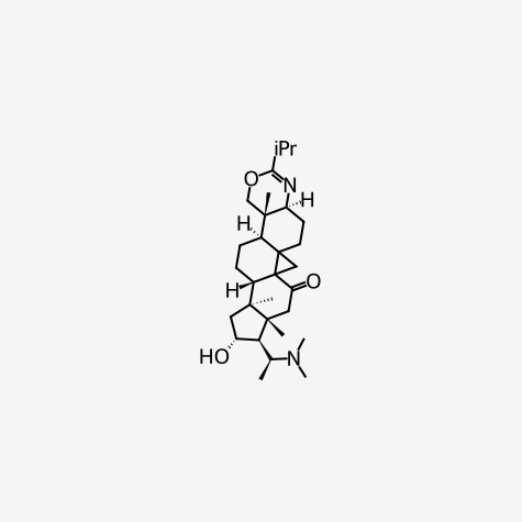 CC(C)C1=N[C@H]2CCC34CC35C(=O)C[C@]3(C)[C@@H]([C@H](C)N(C)C)[C@H](O)C[C@@]3(C)[C@@H]5CC[C@H]4[C@]2(C)CO1